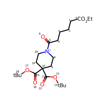 CCOC(=O)CCCCC(=O)N1CCC(C(=O)OC(C)(C)C)(C(=O)OC(C)(C)C)CC1